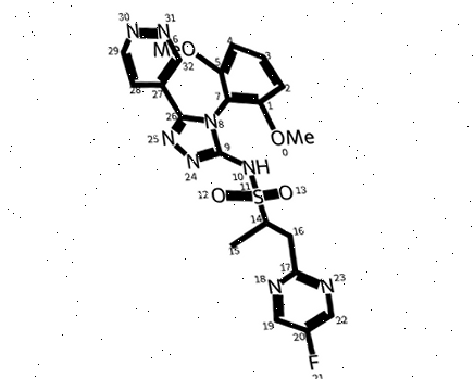 COc1cccc(OC)c1-n1c(NS(=O)(=O)C(C)Cc2ncc(F)cn2)nnc1-c1ccnnc1